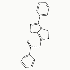 O=C(C[N+]1=C2SC=C(c3ccccc3)N2CC1)c1ccccc1